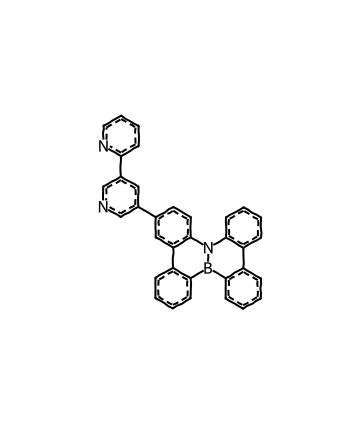 c1ccc(-c2cncc(-c3ccc4c(c3)-c3ccccc3B3c5ccccc5-c5ccccc5N34)c2)nc1